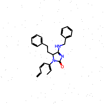 C=C/C=C\C(=C/C)N1C(=O)N=C(NCc2ccccc2)C1CCc1ccccc1